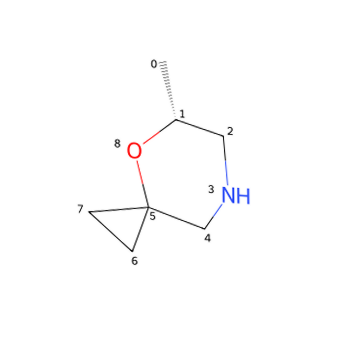 C[C@@H]1CNCC2(CC2)O1